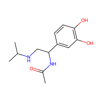 CC(=O)NC(CNC(C)C)c1ccc(O)c(O)c1